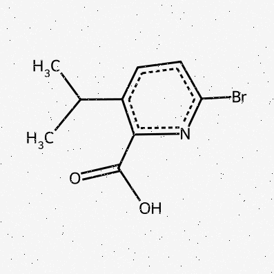 CC(C)c1ccc(Br)nc1C(=O)O